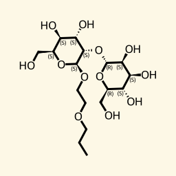 CCCOCCO[C@H]1O[C@@H](CO)[C@@H](O)[C@H](O)[C@@H]1O[C@H]1O[C@H](CO)[C@@H](O)[C@H](O)[C@@H]1O